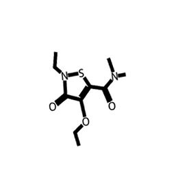 CCOc1c(C(=O)N(C)C)sn(CC)c1=O